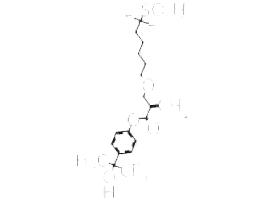 C=C(COCCCCCC(F)(F)S(=O)(=O)O)C(=O)Oc1ccc(C(C)(O)C(F)(F)F)cc1